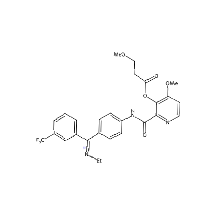 CC/N=C(\c1ccc(NC(=O)c2nccc(OC)c2OC(=O)CCOC)cc1)c1cccc(C(F)(F)F)c1